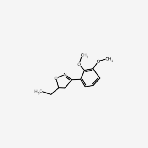 CCC1CC(c2cccc(OC)c2OC)=NO1